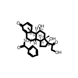 C[C@]12C=CC(=O)C=C1CC[C@@H]1[C@@H]2[C@@H](O)C[C@@]2(C)[C@H]1CC[C@]2(O)C(=O)CO.O=C(c1ccccc1)S(=O)(=O)O